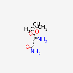 CC(C)(C)OC(=O)[C@H](N)CCC(N)=O